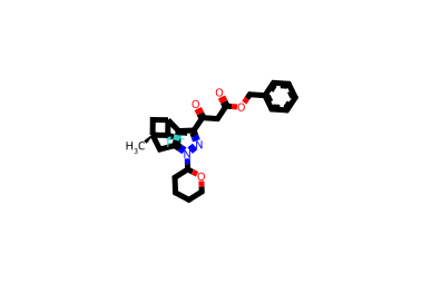 C[C@@]12Cc3c(c(C(=O)CC(=O)OCc4ccccc4)nn3C3CCCCO3)C(C1)C2(F)F